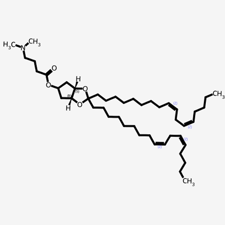 CCCC/C=C\C/C=C\CCCCCCCCC1(CCCCCCCC/C=C\C/C=C\CCCC)O[C@H]2CC(OC(=O)CCCN(C)C)C[C@H]2O1